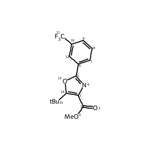 COC(=O)c1nc(-c2cccc(C(F)(F)F)c2)oc1C(C)(C)C